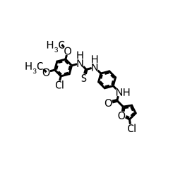 COc1cc(OC)c(NC(=S)Nc2ccc(NC(=O)c3ccc(Cl)o3)cc2)cc1Cl